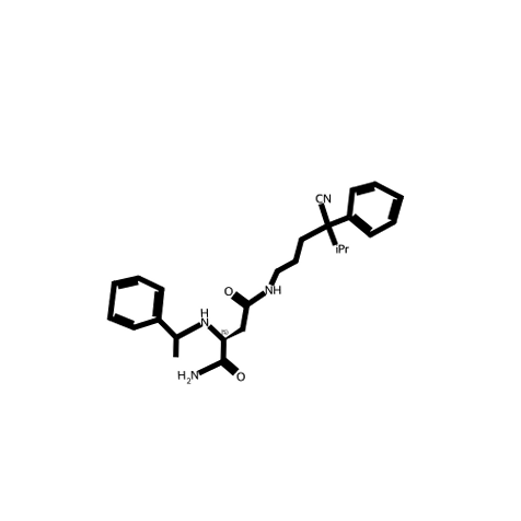 CC(N[C@@H](CC(=O)NCCCC(C#N)(c1ccccc1)C(C)C)C(N)=O)c1ccccc1